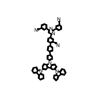 N#Cc1cccc(-c2cc(-c3ccc(-c4ccc(-c5ccc(-n6c7ccc(-n8c9ccccc9c9ccccc98)cc7c7cc(-n8c9ccccc9c9ccccc98)ccc76)cc5)cc4)c(C#N)c3)nc(-c3cccc(C#N)c3)n2)c1